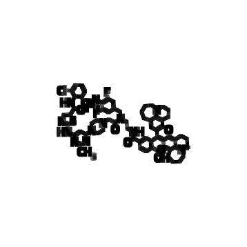 Cc1nc(Nc2ncc(C(=O)Nc3c(C)cccc3Cl)s2)cc(N2CCN(CC(=O)N(CCNC(=O)c3ccc(C(=O)O)c(C4=c5cc6c7c(c5Oc5c4cc4c8c5CCCN8CCCC4)CCC[N+]=7CCCC6)c3)Cc3cc(F)c(N=[N+]=[N-])c(F)c3)CC2)n1